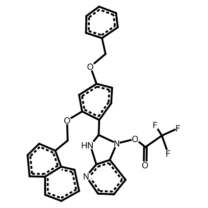 O=C(ON1c2cccnc2NC1c1ccc(OCc2ccccc2)cc1OCc1cccc2ccccc12)C(F)(F)F